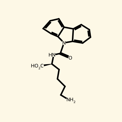 NCCCC[C@H](NC(=O)n1c2ccccc2c2ccccc21)C(=O)O